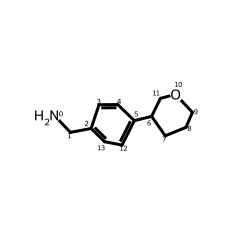 NCc1ccc(C2CCCOC2)cc1